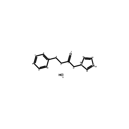 Cl.O=C(CCc1ccccc1)Cn1ccnc1